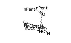 CCCCCCCCC(CCCCCCCC)N(C)C(=O)C(C)(C)CCCCCCOC(=O)[C@@H]1C[C@H](OC(O)CCN(C)C)CN1CCCCCCCC(=O)N(C)CCCC(CCCCC)CCCCC